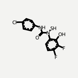 O=C(Nc1ccc(Cl)cc1)N(S)c1ccc(F)c(F)c1O